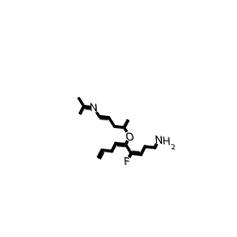 C=CC/C=C(OC(C)CC=CN=C(C)C)\C(F)=C/CCN